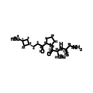 CCCC[C@H]1C[C@H](CCC(=O)[C@H]2CCCN2C(=O)[C@@H](NC(=S)CN)C(C)(C)C)C1